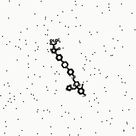 CCC(OC)n1ncn(-c2ccc(N3CCN(c4ccc(OCC5COC(Cn6cncn6)(c6ccc(F)cc6F)O5)cc4)CC3)cc2)c1=O